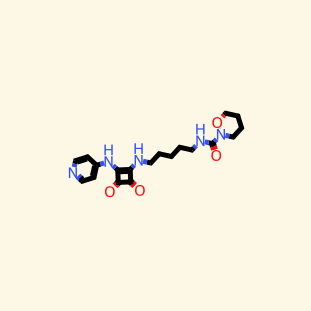 O=C(NCCCCCNc1c(Nc2ccncc2)c(=O)c1=O)N1CCCCO1